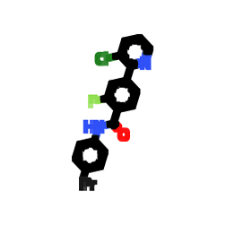 CC(C)c1ccc(NC(=O)c2ccc(-c3ncccc3Cl)cc2F)cc1